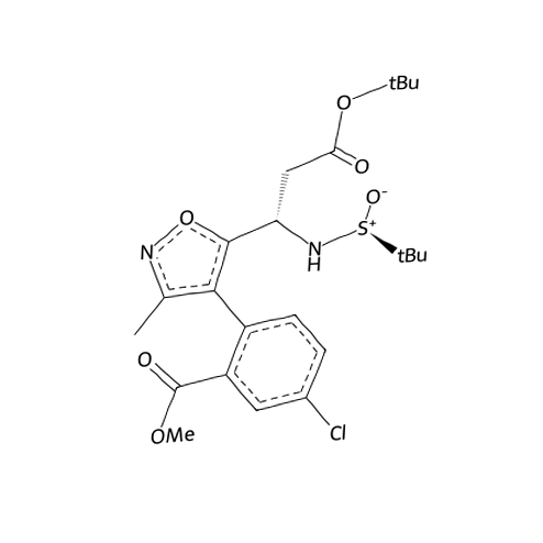 COC(=O)c1cc(Cl)ccc1-c1c(C)noc1[C@H](CC(=O)OC(C)(C)C)N[S@@+]([O-])C(C)(C)C